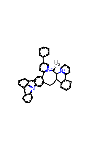 C=C1C2C(CCc3cc4c(cc3-c3ccc(-c5ccccc5)c[n+]31)c1cccc3c5ccccc5n4c31)c1ccccc1-c1cccc[n+]12